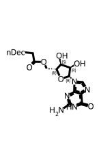 CCCCCCCCCCCC(=O)OC[C@H]1O[C@@H](n2cnc3c(=O)[nH]c(N)nc32)[C@H](O)[C@@H]1O